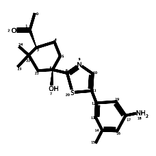 CC(=O)[C@H]1CC[C@](O)(c2ncc(-c3cc(C)cc(N)c3)s2)CC1(C)C